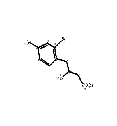 CCOC(=O)CC(O)Cc1ccc(N)cc1Br